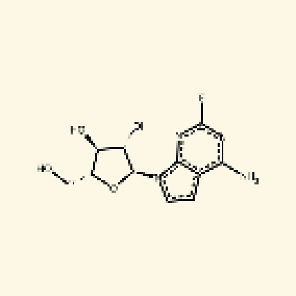 Nc1nc(F)nc2c1ccn2[C@H]1O[C@H](CO)[C@@H](O)[C@@H]1O